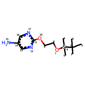 CC(C)(C)[Si](C)(C)OCCOc1ncc(N)cn1